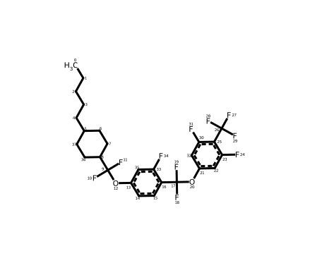 CCCCCC1CCC(C(F)(F)Oc2ccc(C(F)(F)Oc3cc(F)c(C(F)(F)F)c(F)c3)c(F)c2)CC1